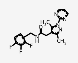 Cc1nn(-c2ncccn2)c(C)c1CC(=O)NCc1ccc(F)c(F)c1F